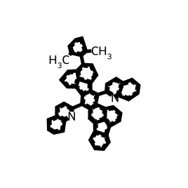 Cc1cccc(C)c1-c1ccc2c3c(-c4ccc5ccccc5n4)c4c(cc5c6ccccc6c6cccc4c65)c(-c4ccc5ccccc5n4)c3c3cccc1c32